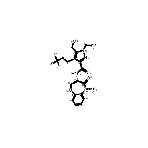 CCc1c(CCC(F)(F)F)c(C(=O)N[C@H]2COc3ccccc3N(C)C2=O)nn1CC